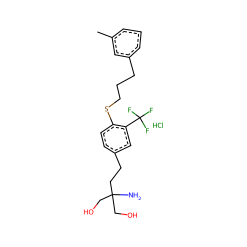 Cc1cccc(CCCSc2ccc(CCC(N)(CO)CO)cc2C(F)(F)F)c1.Cl